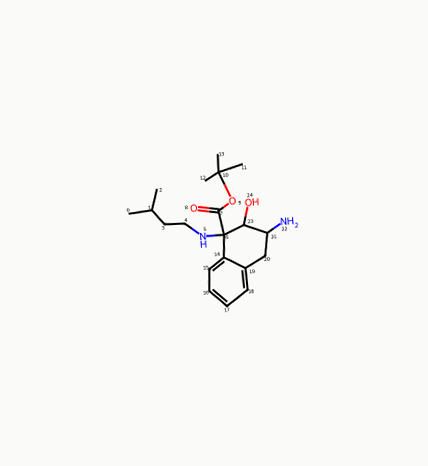 CC(C)CCNC1(C(=O)OC(C)(C)C)c2ccccc2CC(N)C1O